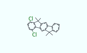 CC1(C)c2ccccc2-c2cc3c(cc21)-c1c(Cl)ccc(Cl)c1C3(C)C